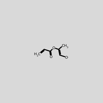 C=CC(=O)OC(C)=C[O]